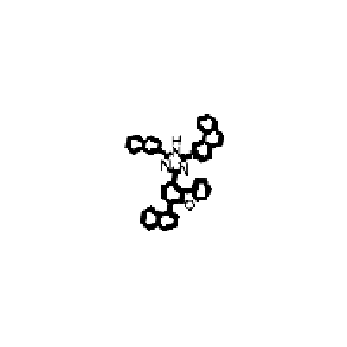 c1ccc2cc(C3N=C(c4ccc(-c5cccc6ccccc56)c5oc6ccccc6c45)N=C(c4ccc5ccc6ccccc6c5c4)N3)ccc2c1